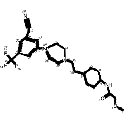 COCC(=O)NC1CCC(CCN2CCN(c3cc(C#N)cc(C(F)(F)F)c3)CC2)CC1